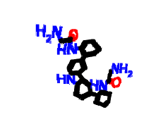 NCC(=O)Nc1ccccc1-c1ccc2[nH]c3ccc(-c4ccccc4NC(=O)CN)cc3c2c1